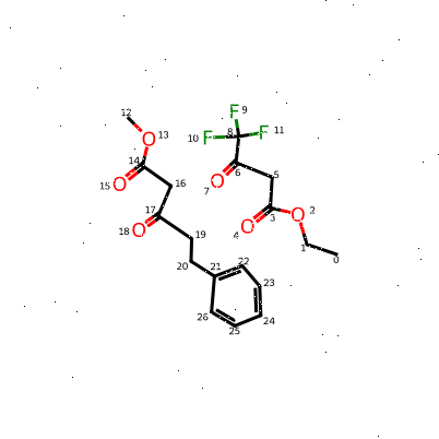 CCOC(=O)CC(=O)C(F)(F)F.COC(=O)CC(=O)CCc1ccccc1